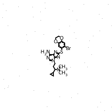 CN(C)C(CCn1cnc(N)c2nc(Sc3cc4c(cc3Br)OCCO4)nc1-2)C1CC1